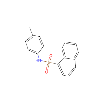 Cc1ccc(NS(=O)(=O)c2cccc3ccccc23)cc1